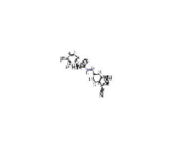 Cc1c(F)cccc1NC(=O)/C=C/c1ccc2c(C#N)n[nH]c2c1